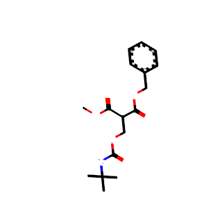 COC(=O)C(COC(=O)NC(C)(C)C)C(=O)OCc1ccccc1